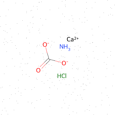 Cl.N.O=C([O-])[O-].[Ca+2]